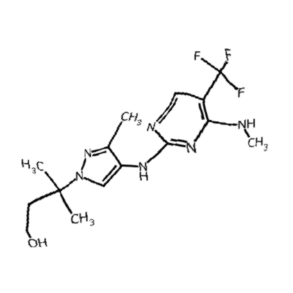 CNc1nc(Nc2cn(C(C)(C)CO)nc2C)ncc1C(F)(F)F